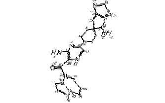 Nc1nc(N2CCC3(CC2)Cc2ncsc2[C@H]3N)cnc1C(=O)N1CCCn2nccc21